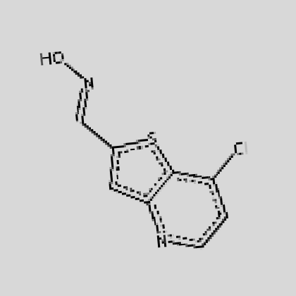 ON=Cc1cc2nccc(Cl)c2s1